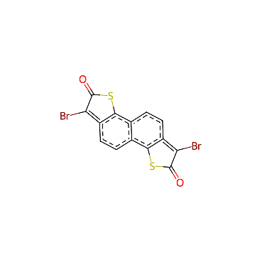 O=C1Sc2c(ccc3c4c(ccc23)=C(Br)C(=O)S4)=C1Br